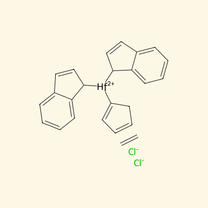 C1=CC[C]([Hf+2]([CH]2C=Cc3ccccc32)[CH]2C=Cc3ccccc32)=C1.C=C.[Cl-].[Cl-]